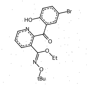 CCOC(=NOC(C)(C)C)c1cccnc1C(=O)c1cc(Br)ccc1O